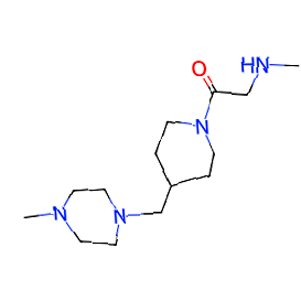 CNCC(=O)N1CCC(CN2CCN(C)CC2)CC1